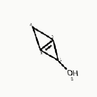 OC1C2=C1C2